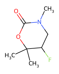 CN1CC(F)C(C)(C)OC1=O